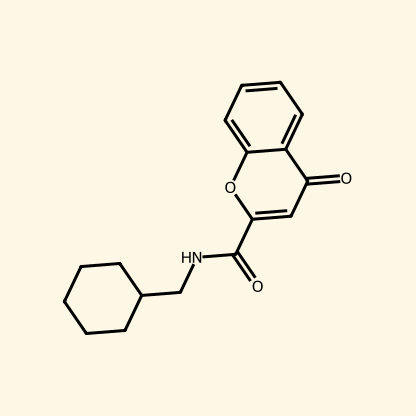 O=C(NCC1CCCCC1)c1cc(=O)c2ccccc2o1